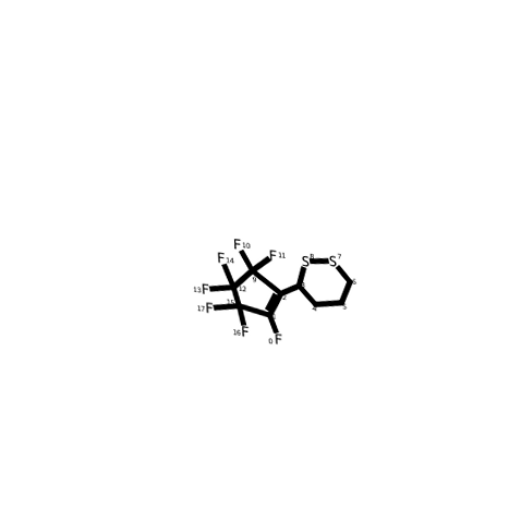 FC1=C(C2CCCSS2)C(F)(F)C(F)(F)C1(F)F